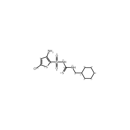 Nc1cc(Cl)sc1S(=O)(=O)NC(=S)NCC1CCCCC1